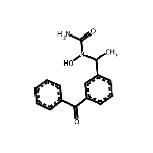 CC(c1cccc(C(=O)c2ccccc2)c1)N(O)C(N)=O